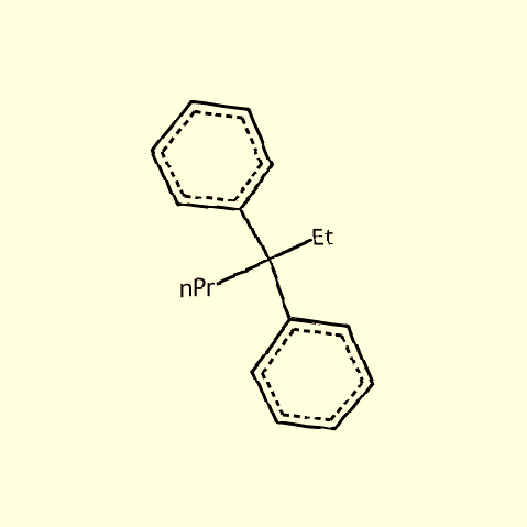 CCCC(CC)(c1ccccc1)c1ccccc1